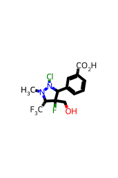 CN1C(C(F)(F)F)C(F)(CO)C(c2cccc(C(=O)O)c2)N1Cl